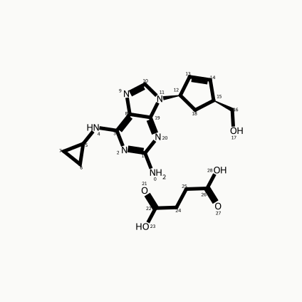 Nc1nc(NC2CC2)c2ncn([C@H]3C=C[C@@H](CO)C3)c2n1.O=C(O)CCC(=O)O